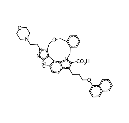 CCc1nn(CCN2CCOCC2)c2c1-c1c(Cl)ccc3c(CCCOc4cccc5ccccc45)c(C(=O)O)n(c13)Cc1ccccc1COC2